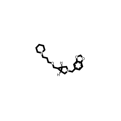 c1cc2c(cc1CN1C[C@@H]3C(COCCCN4CCCCC4)[C@@H]3C1)OCO2